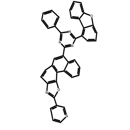 c1ccc(-c2nc(-c3cc4ccc5nc(-c6cccnc6)oc5c4c4ccccc34)nc(-c3cccc4oc5ccccc5c34)n2)cc1